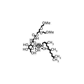 COCCOCC(COC(=O)NCC(=O)NC1[C@@H](O[P@@](=O)(CO)O[P@@](=O)(CO)OC/C=C(/C)CC/C=C(\C)CCC=C(C)C)OC(CO)[C@@H](O)[C@@H]1O)OCCOC